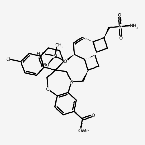 COC(=O)c1ccc2c(c1)N(C[C@@H]1CC[C@H]1[C@H](/C=C\[C@H]1CC[C@@H]1CS(N)(=O)=O)O[Si](C)(C)C(C)(C)C)CC1(CCCc3cc(Cl)ccc31)CO2